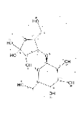 OCC1O[C@@H](OC2C(O)C(O)(O)O[C@@H]2CO)C(O)C(O)[C@@H]1O